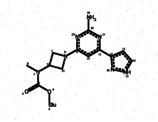 CN(C(=O)OC(C)(C)C)C1CN(c2cc(-c3cc[nH]n3)nc(N)n2)C1